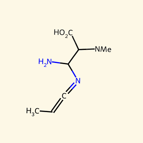 CC=C=NC(N)C(NC)C(=O)O